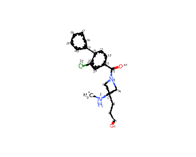 CNC1(CCC=O)CN(C(=O)c2ccc(-c3ccccc3)c(Cl)c2)C1